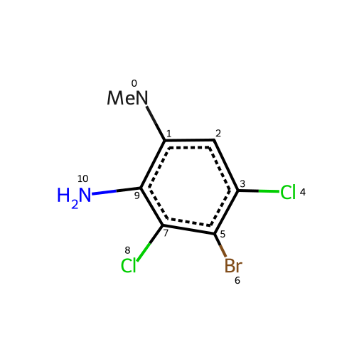 CNc1cc(Cl)c(Br)c(Cl)c1N